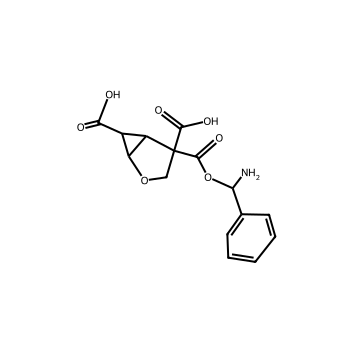 NC(OC(=O)C1(C(=O)O)COC2C(C(=O)O)C21)c1ccccc1